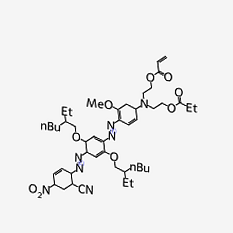 C=CC(=O)OCCN(CCOC(=O)CC)C1C=CC(/N=N/C2=CC(OCC(CC)CCCC)C(/N=N/C3C=CC([N+](=O)[O-])CC3C#N)C=C2OCC(CC)CCCC)=C(OC)C1